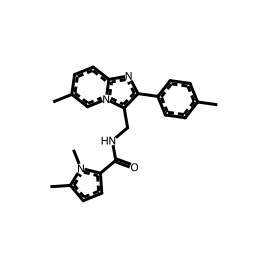 Cc1ccc(-c2nc3ccc(C)cn3c2CNC(=O)c2ccc(C)n2C)cc1